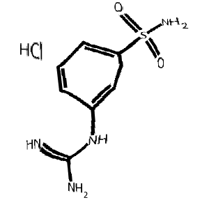 Cl.N=C(N)Nc1cccc(S(N)(=O)=O)c1